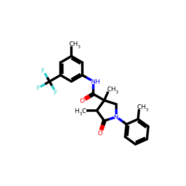 Cc1cc(NC(=O)C2(C)CN(c3ccccc3C)C(=O)C2C)cc(C(F)(F)F)c1